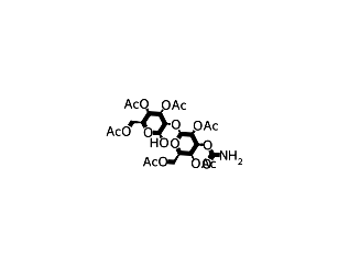 CC(=O)OC[C@@H]1O[C@H](O)[C@@H](O[C@H]2O[C@H](COC(C)=O)[C@@H](OC(C)=O)[C@H](OC(N)=O)[C@@H]2OC(C)=O)[C@@H](OC(C)=O)[C@@H]1OC(C)=O